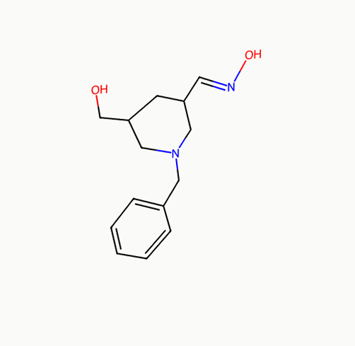 OCC1CC(/C=N/O)CN(Cc2ccccc2)C1